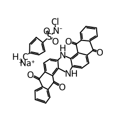 Cc1ccc(S(=O)(=O)[N-]Cl)cc1.O=c1c2ccccc2c(=O)c2c1ccc1[nH]c3c(ccc4c(=O)c5ccccc5c(=O)c43)[nH]c12.[Na+]